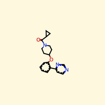 O=C(C1CC1)N1CCC(Oc2ccccc2-c2ccncn2)CC1